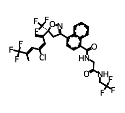 C=C(/C=C(Cl)\C=C(/C)C(F)(F)F)[C@]1(C(F)(F)F)CC(c2ccc(C(=O)NCC(=O)NCC(F)(F)F)c3ccccc23)=NO1